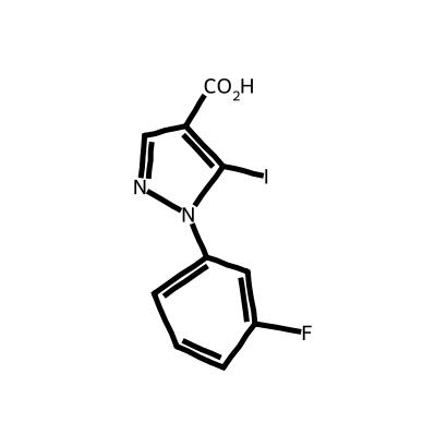 O=C(O)c1cnn(-c2cccc(F)c2)c1I